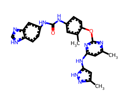 Cc1cc(Nc2cc(C)nc(Oc3ccc(NC(=O)Nc4ccc5[nH]cnc5c4)cc3C)n2)[nH]n1